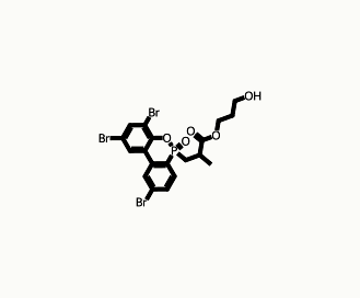 CC(CP1(=O)Oc2c(Br)cc(Br)cc2-c2cc(Br)ccc21)C(=O)OCCCO